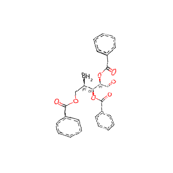 B[C@H](COC(=O)c1ccccc1)[C@H](OC(=O)c1ccccc1)[C@H](C=O)OC(=O)c1ccccc1